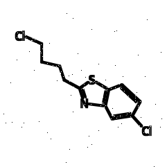 ClCCCCc1nc2cc(Cl)ccc2s1